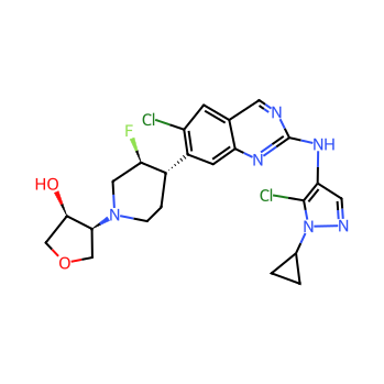 O[C@@H]1COC[C@@H]1N1CC[C@@H](c2cc3nc(Nc4cnn(C5CC5)c4Cl)ncc3cc2Cl)[C@H](F)C1